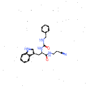 N#CCCNC(=O)C(Cc1c[nH]c2ccccc12)NC(=O)NCc1ccccc1